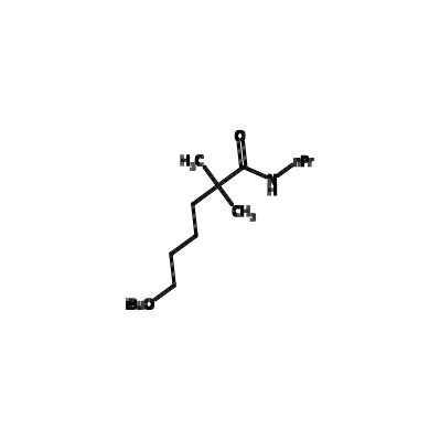 CCCNC(=O)C(C)(C)CCCCOCC(C)C